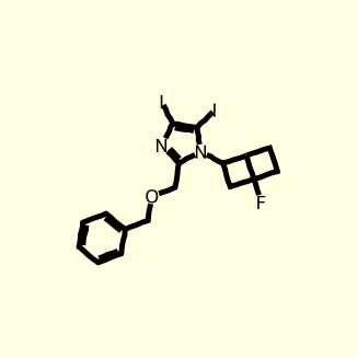 FC12CCC1C(n1c(COCc3ccccc3)nc(I)c1I)C2